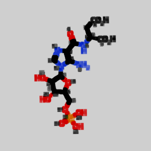 Nc1c(C(=O)N[C@@H](CC(=O)O)C(=O)O)ncn1C1OC(COP(=O)(O)O)[C@H](O)C1O